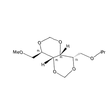 COC[C@H]1OCO[C@H]2[C@@H]1OCO[C@H]2COC(C)C